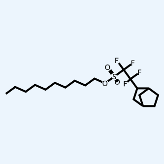 CCCCCCCCCCOS(=O)(=O)C(F)(F)C(F)(F)C1CC2CCC1C2